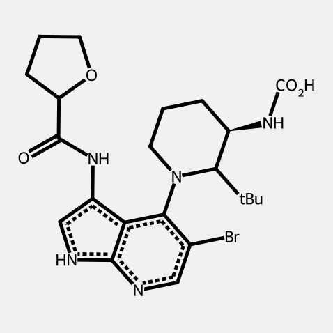 CC(C)(C)C1[C@H](NC(=O)O)CCCN1c1c(Br)cnc2[nH]cc(NC(=O)C3CCCO3)c12